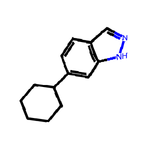 c1cc2cn[nH]c2cc1C1CCCCC1